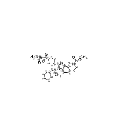 COC(=O)N1CCc2ccc3c(nc([C@H]4CC[C@H](S(=O)(=O)NC(C)=O)CC4)n3[C@H](C)Cc3ccccc3)c2C1